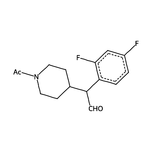 CC(=O)N1CCC(C(C=O)c2ccc(F)cc2F)CC1